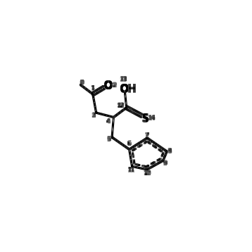 CC(=O)CC(Cc1ccccc1)C(O)=S